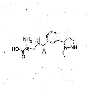 CCN1NCC(C)C1c1cccc(C(=O)NC[C@@H](N)C(=O)O)c1